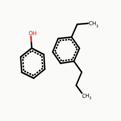 CCCc1cccc(CC)c1.Oc1ccccc1